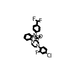 O=[SH](=O)N(c1ccc(C(F)F)cc1)c1ccccc1N1CCN(c2ccc(Cl)cc2F)CC1